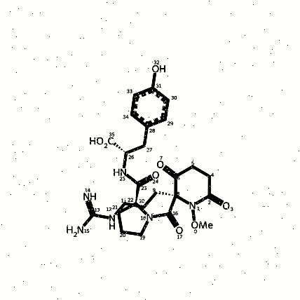 CON1C(=O)CCC(=O)[C@]1(CCCNC(=N)N)C(=O)N1CCC[C@H]1C(=O)N[C@@H](Cc1ccc(O)cc1)C(=O)O